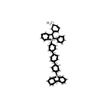 CC1C=CC=C(C2c3ccccc3N(c3ccc(-c4ccc(-c5ccc(-n6c7ccccc7c7ccccc76)cc5)cc4)cc3)C2c2ccccc2)C1